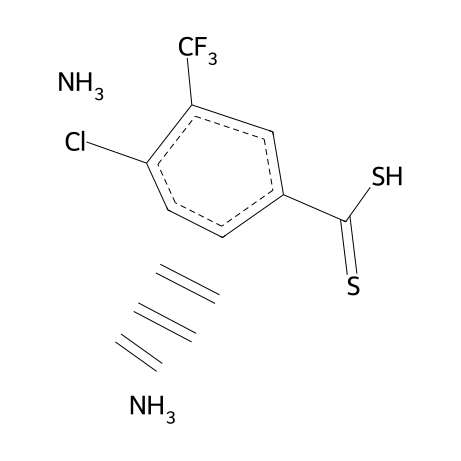 C=C.C=C.C=C.FC(F)(F)c1cc(C(=S)S)ccc1Cl.N.N